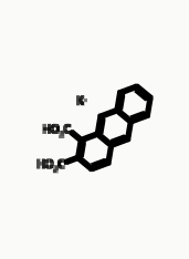 O=C(O)c1ccc2cc3ccccc3cc2c1C(=O)O.[K]